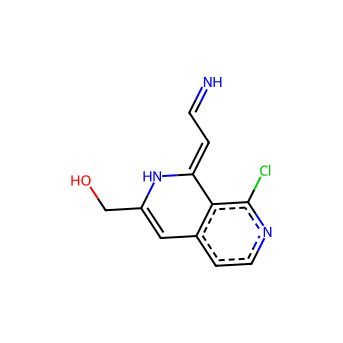 N=C/C=C1\NC(CO)=Cc2ccnc(Cl)c21